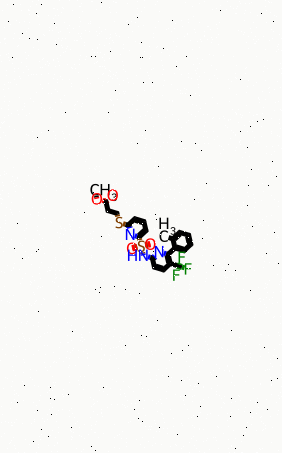 COC(=O)CCSc1cccc(S(=O)(=O)Nc2ccc(C(F)(F)F)c(-c3ccccc3C)n2)n1